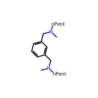 CCCCCN(C)Cc1cccc(CN(C)CCCCC)c1